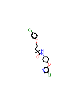 CC(C)(CCCOc1ccc(Cl)cc1)C(=O)N[C@H]1CC[C@@H](Oc2cncc(Cl)c2)CC1